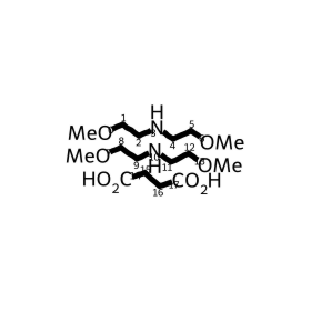 COCCNCCOC.COCCNCCOC.O=C(O)CCC(=O)O